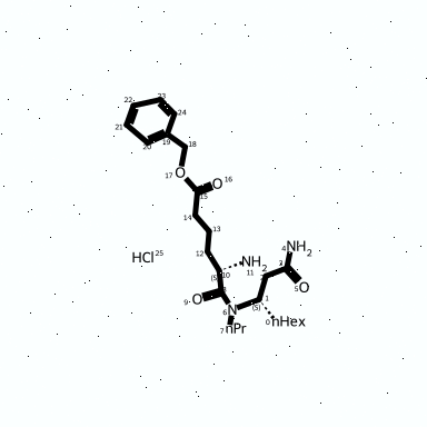 CCCCCC[C@@H](CC(N)=O)N(CCC)C(=O)[C@@H](N)CCCC(=O)OCc1ccccc1.Cl